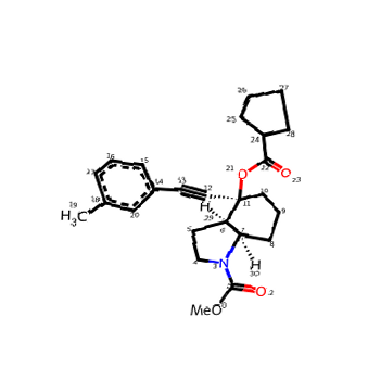 COC(=O)N1CC[C@@H]2[C@H]1CCC[C@]2(C#Cc1cccc(C)c1)OC(=O)C1CCCC1